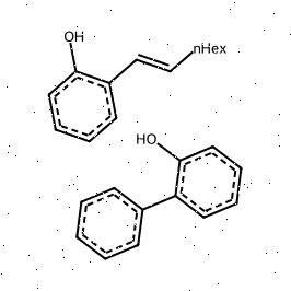 CCCCCCC=Cc1ccccc1O.Oc1ccccc1-c1ccccc1